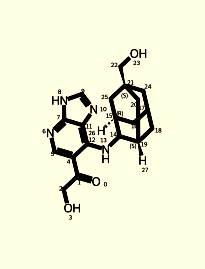 O=C(CO)c1cnc2[nH]cnc2c1NC1[C@@H]2CC3C[C@H]1C[C@@](CO)(C3)C2